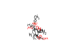 C=C[C@]1(C)C[C@@H](OC(=O)CO)[C@@]2(C)C[C@](CC(O)C(C)OS(=O)(=O)c3ccc(C)cc3)(CCC2C)[C@@H](C)[C@@H]1O